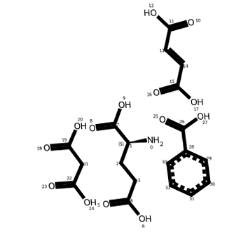 N[C@@H](CCC(=O)O)C(=O)O.O=C(O)C=CC(=O)O.O=C(O)CC(=O)O.O=C(O)c1ccccc1